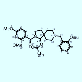 COc1ccc(C(=O)N2CCC3(CCN(Cc4ccccc4OCC(C)C)CC3)C2OC(=O)C(F)(F)F)c(OC)n1